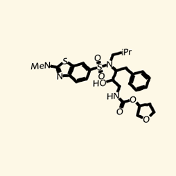 CNc1nc2ccc(S(=O)(=O)N(CC(C)C)C(Cc3ccccc3)C(O)CNC(=O)OC3CCOC3)cc2s1